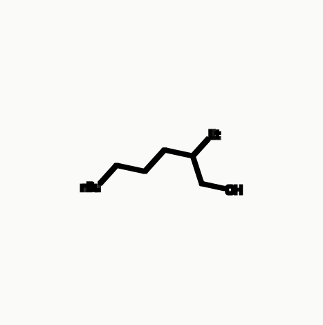 CCCCCCCC(CC)CO